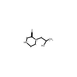 CC(O)CN1CCNCC1=O